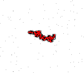 c1ccc(-c2cc3oc4ccccc4c3cc2-c2c3ccccc3c(-c3ccc(-c4cccc5c(-c6cccc7c6oc6cc(-c8ccccc8)c(-c8c9ccccc9c(-c9ccc(-c%10ccc%11ccccc%11c%10)cc9)c9ccccc89)cc67)cccc45)cc3)c3ccccc23)cc1